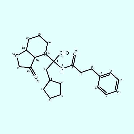 O=CC(CC1CCCC1)(NC(=O)CCc1ccccc1)N1CCCC2OCC(=O)C21